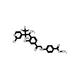 COC(=O)c1ccc(NCC(=O)c2ccc(C(C)C(O)(c3ccnc(Cl)c3)C(F)(F)F)c(Cl)c2)cc1